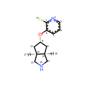 Fc1ncccc1O[C@@H]1C[C@H]2CNC[C@H]2C1